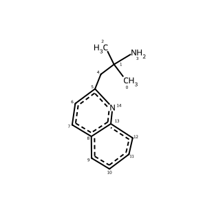 CC(C)(N)Cc1ccc2ccccc2n1